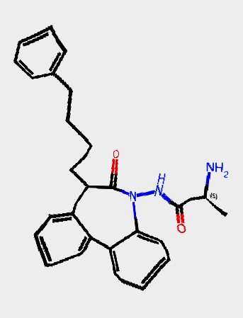 C[C@H](N)C(=O)NN1C(=O)C(CCCCc2ccccc2)c2ccccc2-c2ccccc21